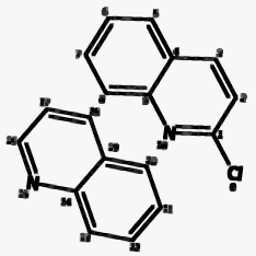 Clc1ccc2ccccc2n1.c1ccc2ncccc2c1